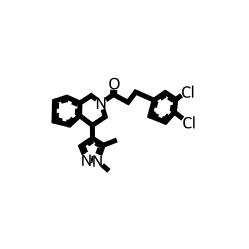 Cc1c(C2CN(C(=O)CCc3ccc(Cl)c(Cl)c3)Cc3ccccc32)cnn1C